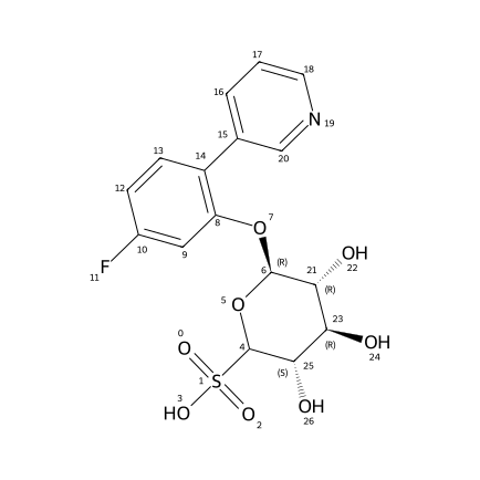 O=S(=O)(O)C1O[C@@H](Oc2cc(F)ccc2-c2cccnc2)[C@H](O)[C@@H](O)[C@@H]1O